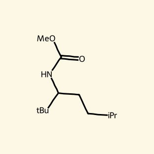 COC(=O)NC(CCC(C)C)C(C)(C)C